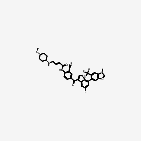 CO[C@H]1CC[C@H](NC/C=C/C(=O)Nc2ccc(C(=O)c3c[nH]c4c(-c5cc6ncn(C)c6cc5C(F)(F)F)cc(Cl)cc34)cc2C#N)CC1